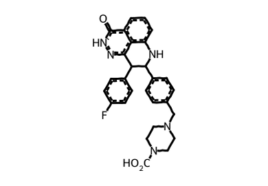 O=C(O)N1CCN(Cc2ccc(C3Nc4cccc5c(=O)[nH]nc(c45)C3c3ccc(F)cc3)cc2)CC1